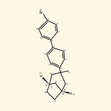 CC1(c2ccc(-c3ccc(Br)cc3)cc2)C[C@@H]2CC[C@@H](C2)C1